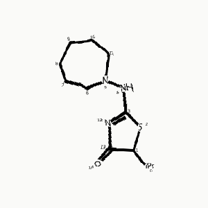 CC(C)C1SC(NN2CCCCCC2)=NC1=O